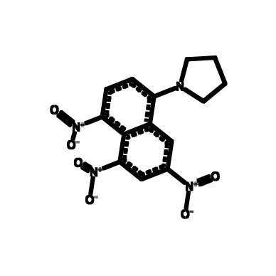 O=[N+]([O-])c1cc([N+](=O)[O-])c2c([N+](=O)[O-])ccc(N3CCCC3)c2c1